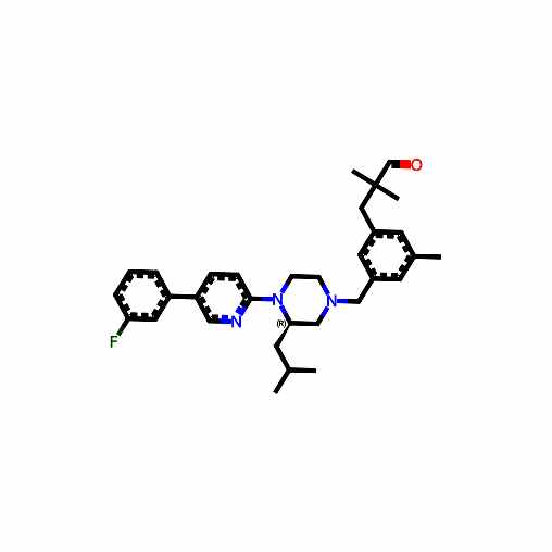 Cc1cc(CN2CCN(c3ccc(-c4cccc(F)c4)cn3)[C@H](CC(C)C)C2)cc(CC(C)(C)C=O)c1